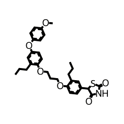 CCCc1cc(Oc2ccc(OC)cc2)ccc1OCCCOc1ccc(C2SC(=O)NC2=O)cc1CCC